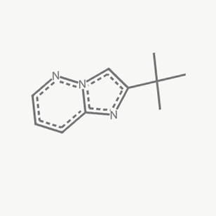 CC(C)(C)c1cn2ncccc2n1